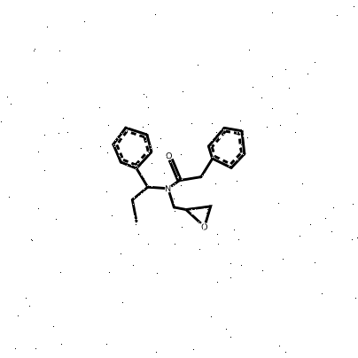 CCC(c1ccccc1)N(CC1CO1)C(=O)Cc1ccccc1